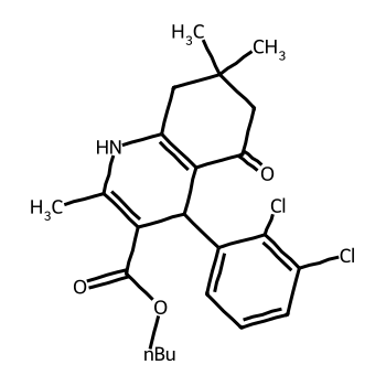 CCCCOC(=O)C1=C(C)NC2=C(C(=O)CC(C)(C)C2)C1c1cccc(Cl)c1Cl